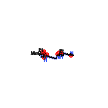 CCC(=O)OCC(C(C)OC)N(C)C(=O)C1(NC(=O)/C=C/C=C/C=C/C=C\CNC(=O)C(C)(C)C(OC(=O)CC)\C(C)=C/C=C\C=C\Cc2cnc(C)o2)COCO1